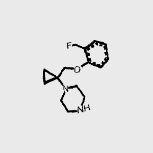 Fc1ccccc1OCC1(N2CCNCC2)CC1